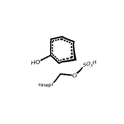 CCCCCCCCOS(=O)(=O)O.Oc1ccccc1